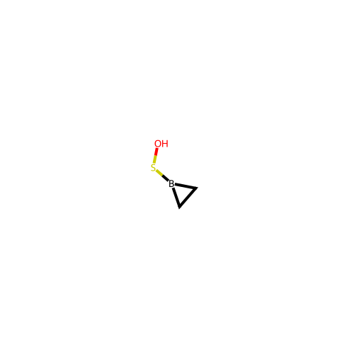 OSB1CC1